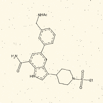 CCS(=O)(=O)N1CCC(c2c[nH]c3c(C(N)=O)cc(-c4cccc(CNC(C)=O)c4)cc23)CC1